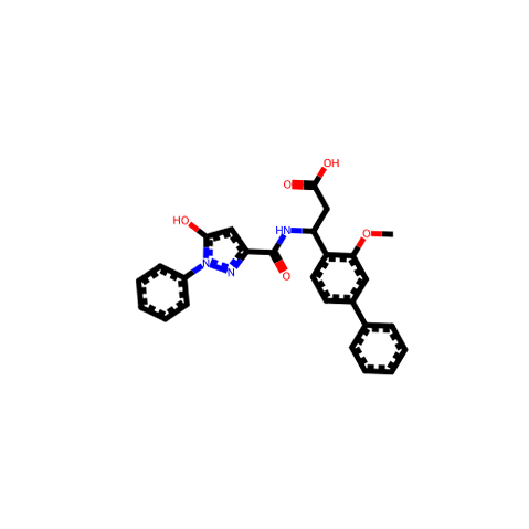 COc1cc(-c2ccccc2)ccc1C(CC(=O)O)NC(=O)c1cc(O)n(-c2ccccc2)n1